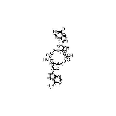 Nc1ncnc2c1ncn2C1C[C@@H]2OP(=O)(O)OCC3OC(n4cnc5c(=O)[nH]cnc54)[C@H](F)[C@@H]3OP(=O)(O)OCC2O1